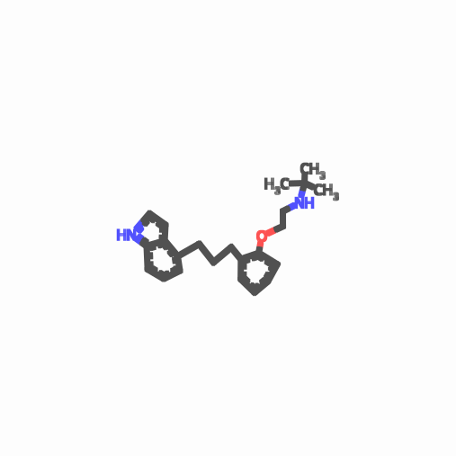 CC(C)(C)NCCOc1ccccc1CCCc1cccc2[nH]ccc12